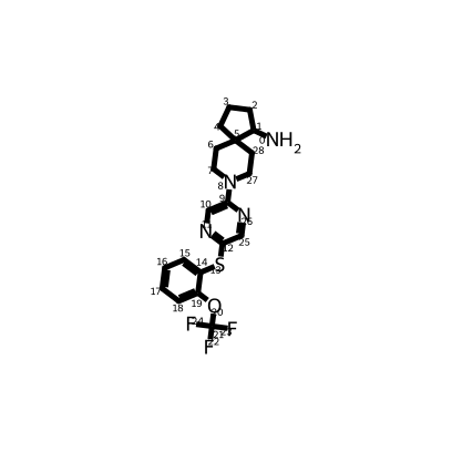 NC1CCCC12CCN(c1cnc(Sc3ccccc3OC(F)(F)F)cn1)CC2